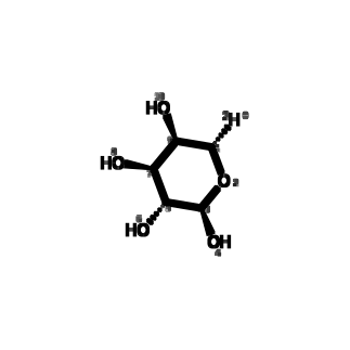 [2H][C@@H]1O[C@@H](O)[C@H](O)[C@@H](O)[C@H]1O